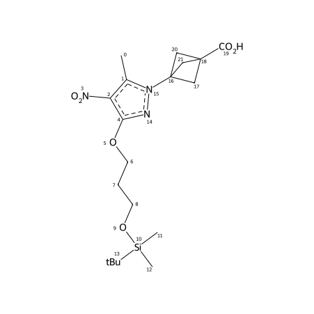 Cc1c([N+](=O)[O-])c(OCCCO[Si](C)(C)C(C)(C)C)nn1C12CC(C(=O)O)(C1)C2